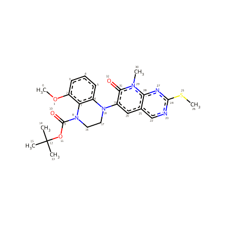 COc1cccc2c1N(C(=O)OC(C)(C)C)CCN2c1cc2cnc(SC)nc2n(C)c1=O